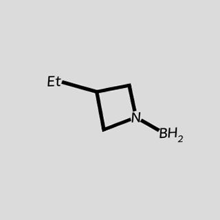 BN1CC(CC)C1